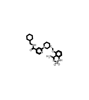 NC1=NS(=O)(=O)Nc2cccc(OC[C@H]3CCCN(c4cc(C(=O)NCC5CCCCC5)ccn4)C3)c21